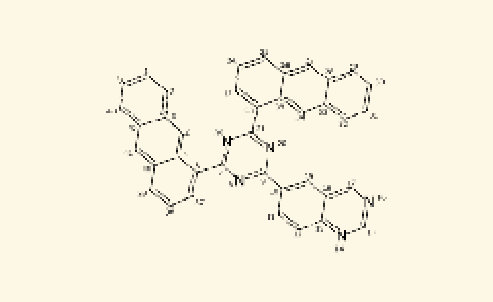 c1ccc2cc3c(-c4nc(-c5ccc6ncncc6c5)nc(-c5cccc6cc7ccccc7cc56)n4)cccc3cc2c1